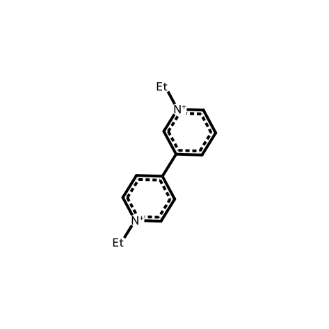 CC[n+]1ccc(-c2ccc[n+](CC)c2)cc1